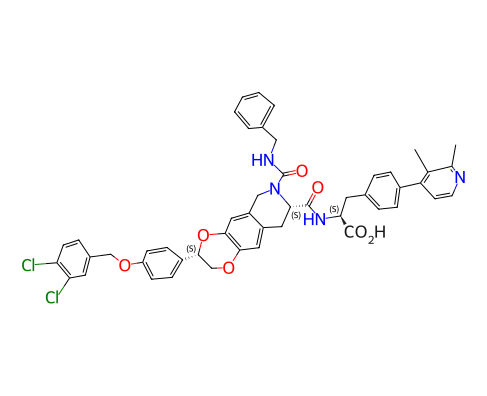 Cc1nccc(-c2ccc(C[C@H](NC(=O)[C@@H]3Cc4cc5c(cc4CN3C(=O)NCc3ccccc3)O[C@@H](c3ccc(OCc4ccc(Cl)c(Cl)c4)cc3)CO5)C(=O)O)cc2)c1C